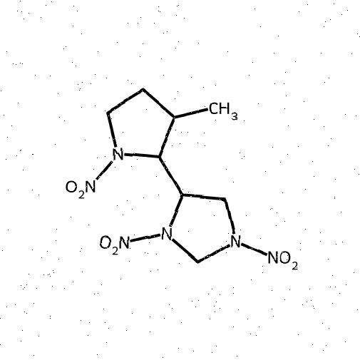 CC1CCN([N+](=O)[O-])C1C1CN([N+](=O)[O-])CN1[N+](=O)[O-]